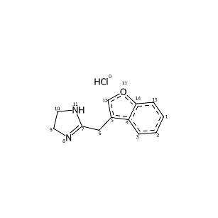 Cl.c1ccc2c(CC3=NCCN3)coc2c1